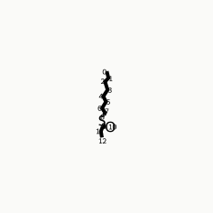 CCCCCCCCSC(=O)CC